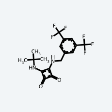 CC(C)(C)Nc1c(NCc2cc(C(F)(F)F)cc(C(F)(F)F)c2)c(=O)c1=O